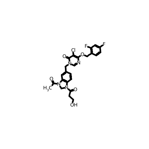 CC(=O)N1CN(C(=O)CCO)c2ccc(Cn3cnc(OCc4ccc(F)cc4F)c(Cl)c3=O)cc21